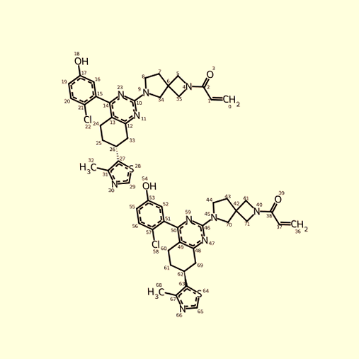 C=CC(=O)N1CC2(CCN(c3nc4c(c(-c5cc(O)ccc5Cl)n3)CC[C@@H](c3scnc3C)C4)C2)C1.C=CC(=O)N1CC2(CCN(c3nc4c(c(-c5cc(O)ccc5Cl)n3)CC[C@H](c3scnc3C)C4)C2)C1